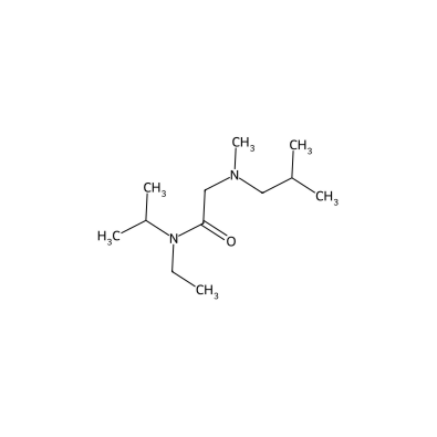 CCN(C(=O)CN(C)CC(C)C)C(C)C